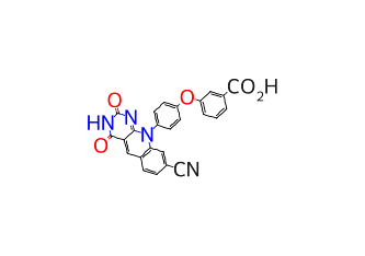 N#Cc1ccc2cc3c(=O)[nH]c(=O)nc-3n(-c3ccc(Oc4cccc(C(=O)O)c4)cc3)c2c1